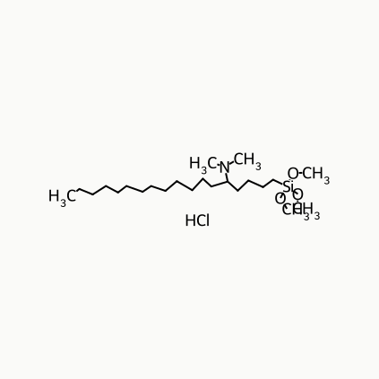 CCCCCCCCCCCCCC(CCCC[Si](OC)(OC)OC)N(C)C.Cl